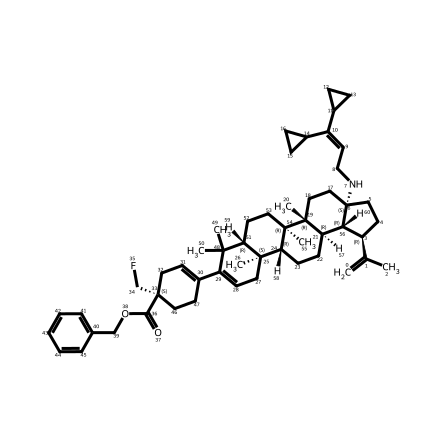 C=C(C)[C@@H]1CC[C@]2(NCC=C(C3CC3)C3CC3)CC[C@]3(C)[C@H](CC[C@@H]4[C@@]5(C)CC=C(C6=CC[C@](CF)(C(=O)OCc7ccccc7)CC6)C(C)(C)[C@@H]5CC[C@]43C)[C@@H]12